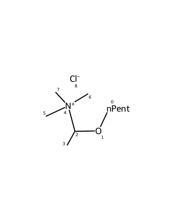 CCCCCOC(C)[N+](C)(C)C.[Cl-]